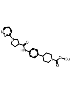 CC(C)(C)OC(=O)N1CCC(c2ccc(NC(=O)C3CCN(c4cccnn4)C3)cc2)CC1